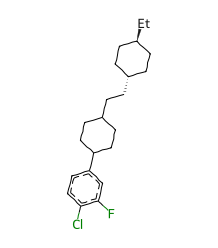 CC[C@H]1CC[C@H](CCC2CCC(c3ccc(Cl)c(F)c3)CC2)CC1